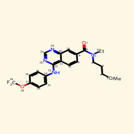 CCN(CCCOC)C(=O)c1ccc2c(Nc3ccc(OC(F)(F)F)cc3)ncnc2c1